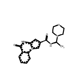 CC(NC(=O)c1cc2[nH]c(=O)c3ccccc3n2c1)N1CCOCC1